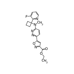 CCOC(=O)c1cc(-c2ccc(N(C)C3(c4ncccc4F)CCC3)nn2)on1